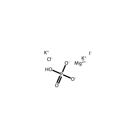 O=P([O-])([O-])O.[Cl-].[I-].[K+].[K+].[Mg+2]